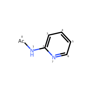 [CH2]C(=O)Nc1ccccn1